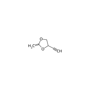 C#CC1COC(=C)O1